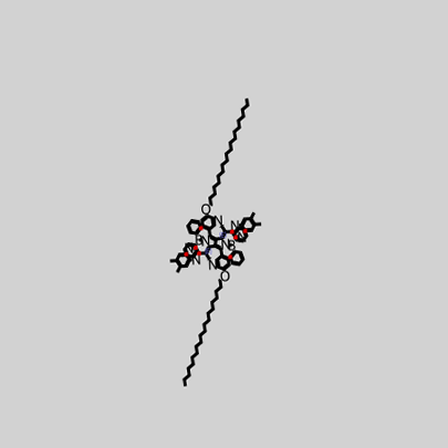 CCCCCCCCCCCCCCCCCCCCOc1ccc(-c2c3/c(=C(\C#N)c4cnc5cc(C)c(C)cc5n4)n(B(c4ccccc4)c4ccccc4)c(-c4ccc(OCCCCCCCCCCCCCCCCCCCC)cc4)c3/c(=C(\C#N)c3cnc4cc(C)c(C)cc4n3)n2B(c2ccccc2)c2ccccc2)cc1